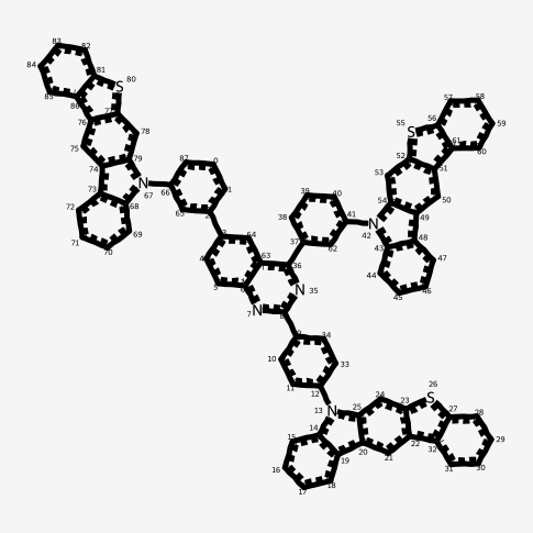 c1cc(-c2ccc3nc(-c4ccc(-n5c6ccccc6c6cc7c(cc65)sc5ccccc57)cc4)nc(-c4cccc(-n5c6ccccc6c6cc7c(cc65)sc5ccccc57)c4)c3c2)cc(-n2c3ccccc3c3cc4c(cc32)sc2ccccc24)c1